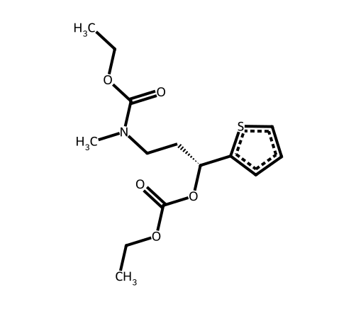 CCOC(=O)O[C@H](CCN(C)C(=O)OCC)c1cccs1